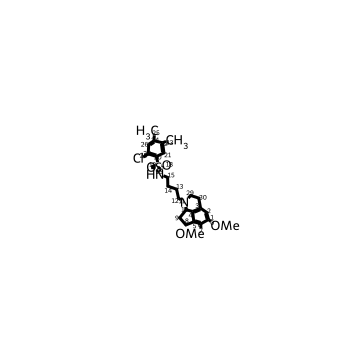 COc1cc2c3c(c1OC)CCC3N(CCCCNS(=O)(=O)c1cc(C)c(C)cc1Cl)CC2